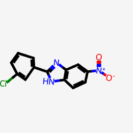 O=[N+]([O-])c1ccc2[nH]c(-c3cccc(Cl)c3)nc2c1